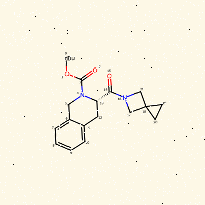 CC(C)(C)OC(=O)N1Cc2ccccc2C[C@H]1C(=O)N1CC2(CC2)C1